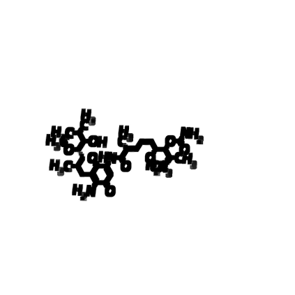 C=C(C)[C@H](OC(N)=O)[C@H](/C=C\C=C(/C)C(=O)NC1=CC(=O)C(N)=C(C[C@@H](C)C[C@H](OC)[C@H](O)C(C)C)C1=O)OC